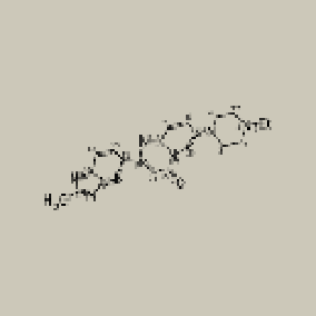 CCN1CCN(c2ccc3nc(-c4ccc5nc(C)nn5n4)cc(=O)n3c2)CC1